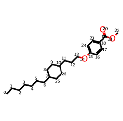 CCCCCCCC1CCC(CCCOc2ccc(C(=O)OC)cc2)CC1